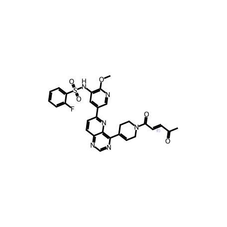 COc1ncc(-c2ccc3ncnc(C4=CCN(C(=O)/C=C/C(C)=O)CC4)c3n2)cc1NS(=O)(=O)c1ccccc1F